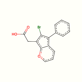 O=C(O)Cc1c2occcc-2c(-c2ccccc2)c1Br